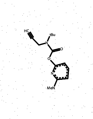 C#CCN(C(=O)Oc1cccc(NC)n1)C(C)(C)C